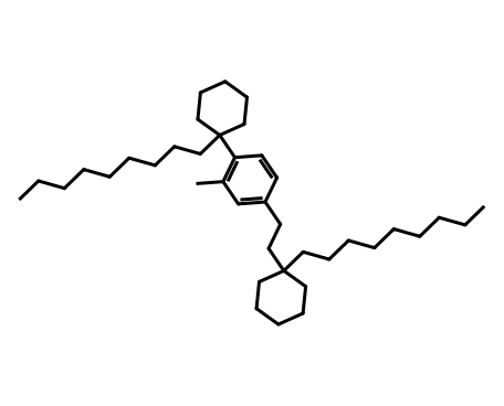 CCCCCCCCCC1(CCc2ccc(C3(CCCCCCCCC)CCCCC3)c(C)c2)CCCCC1